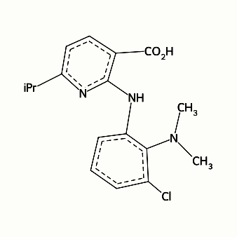 CC(C)c1ccc(C(=O)O)c(Nc2cccc(Cl)c2N(C)C)n1